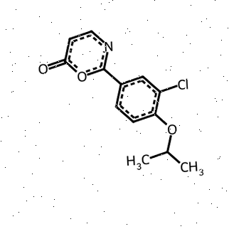 CC(C)Oc1ccc(-c2nccc(=O)o2)cc1Cl